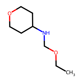 CCOCNC1CCOCC1